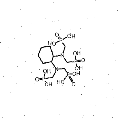 O=P(O)(O)CN(CP(=O)(O)O)C1CCCCC1N(CP(=O)(O)O)CP(=O)(O)O